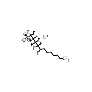 O=S(=O)([O-])C(F)(F)C(F)(F)C(F)(F)C(F)(F)C(F)CCCCCCC(F)(F)F.[Li+]